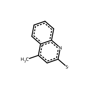 Cc1cc([S])nc2ccccc12